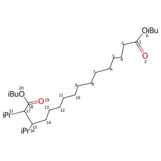 CC(C)COC(=O)CCCCCCCCCCCCC(C(C)C)C(C(=O)OCC(C)C)C(C)C